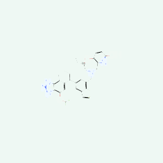 CCC(c1cc(CN2Cc3nc(O)ccc3O[C@H](CC)C2)c2sccc2c1)c1cc(OC(F)F)c2c(nnn2C)c1C